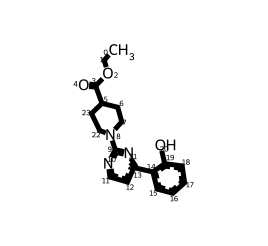 CCOC(=O)C1CCN(c2nccc(-c3ccccc3O)n2)CC1